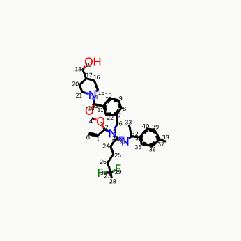 C=CC(OC)N(Cc1cccc(C(=O)N2CCC(CO)CC2)c1)/C(CCCC(C)(F)F)=N\C(C)c1ccc(C)cc1